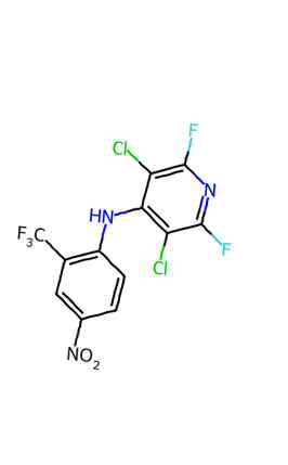 O=[N+]([O-])c1ccc(Nc2c(Cl)c(F)nc(F)c2Cl)c(C(F)(F)F)c1